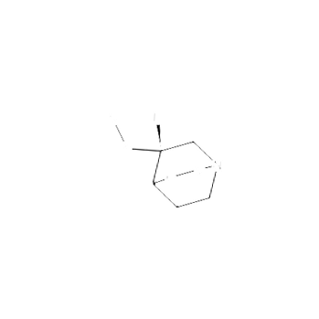 SS[C@@H]1CN2CCC1CC2